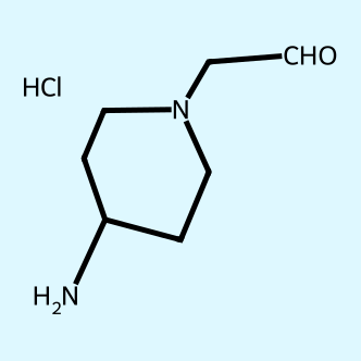 Cl.NC1CCN(CC=O)CC1